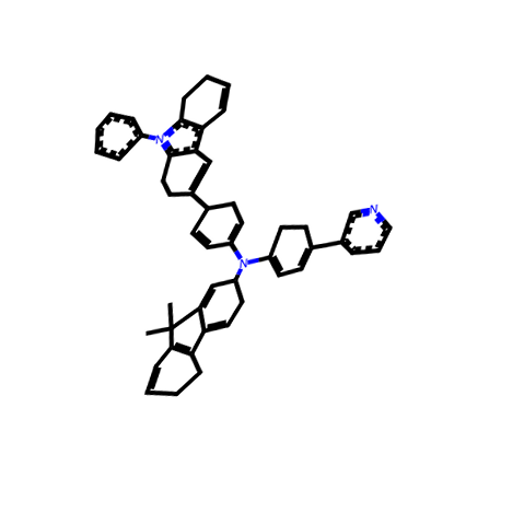 CC1(C)C2=CC(N(C3=CCC(C4=Cc5c6c(n(-c7ccccc7)c5CC4)CCC=C6)C=C3)C3=CC=C(c4cccnc4)CC3)CC=C2C2=C1C=CCC2